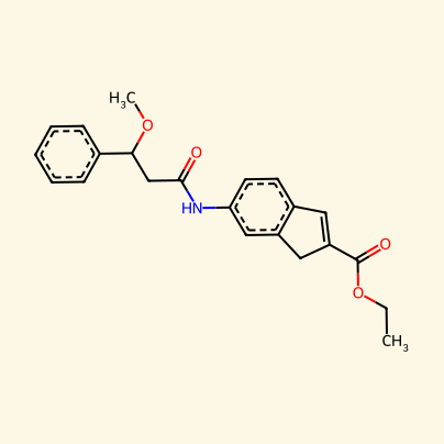 CCOC(=O)C1=Cc2ccc(NC(=O)CC(OC)c3ccccc3)cc2C1